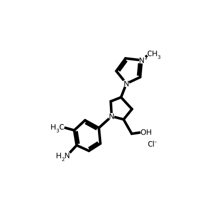 Cc1cc(N2CC(n3cc[n+](C)c3)CC2CO)ccc1N.[Cl-]